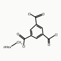 CCCCCCC.O=C(Cl)c1cc(C(=O)Cl)cc(C(=O)Cl)c1